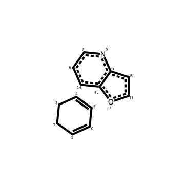 C1=CCCC=C1.c1cnc2ccoc2c1